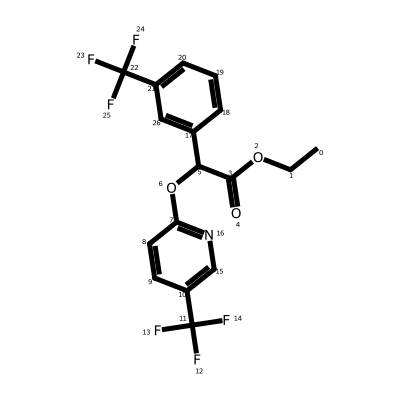 CCOC(=O)C(Oc1ccc(C(F)(F)F)cn1)c1cccc(C(F)(F)F)c1